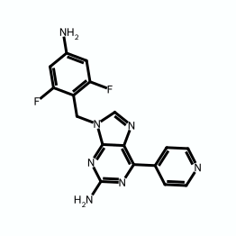 Nc1cc(F)c(Cn2cnc3c(-c4ccncc4)nc(N)nc32)c(F)c1